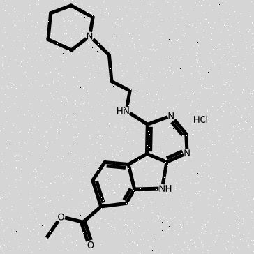 COC(=O)c1ccc2c(c1)[nH]c1ncnc(NCCCN3CCCCC3)c12.Cl